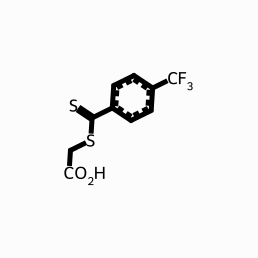 O=C(O)CSC(=S)c1ccc(C(F)(F)F)cc1